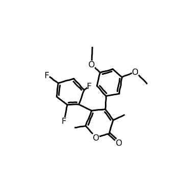 COc1cc(OC)cc(-c2c(-c3c(F)cc(F)cc3F)c(C)oc(=O)c2C)c1